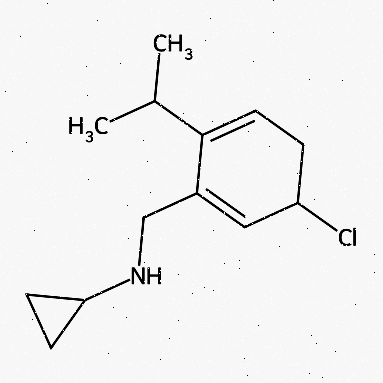 CC(C)C1=CCC(Cl)C=C1CNC1CC1